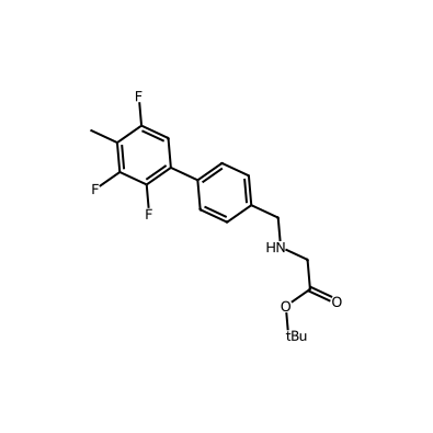 Cc1c(F)cc(-c2ccc(CNCC(=O)OC(C)(C)C)cc2)c(F)c1F